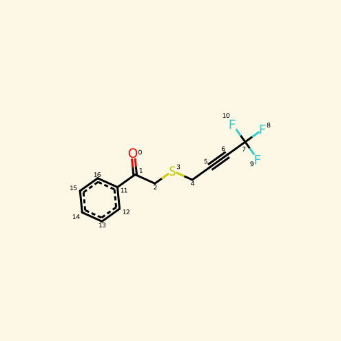 O=C(CSCC#CC(F)(F)F)c1ccccc1